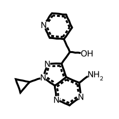 Nc1ncnc2c1c(C(O)c1cccnc1)nn2C1CC1